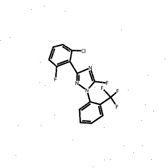 Fc1cccc(Cl)c1-c1nc(F)n(-c2ccccc2C(F)(F)F)n1